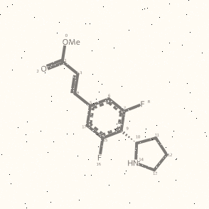 COC(=O)C=Cc1cc(F)c([C@@H]2CCCN2)c(F)c1